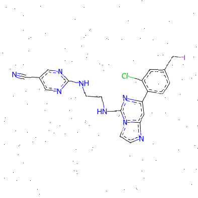 N#Cc1cnc(NCCNc2nc(-c3ccc(CI)cc3Cl)cc3nccn23)nc1